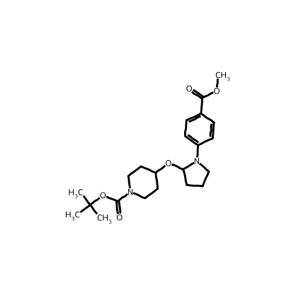 COC(=O)c1ccc(N2CCCC2OC2CCN(C(=O)OC(C)(C)C)CC2)cc1